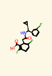 O=C(Cc1c(F)ccc(F)c1C(=O)O)NC(c1cccc(F)c1)C1CC1